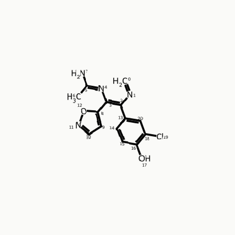 C=N/C(=C(\N=C(/C)N)c1ccno1)c1ccc(O)c(Cl)c1